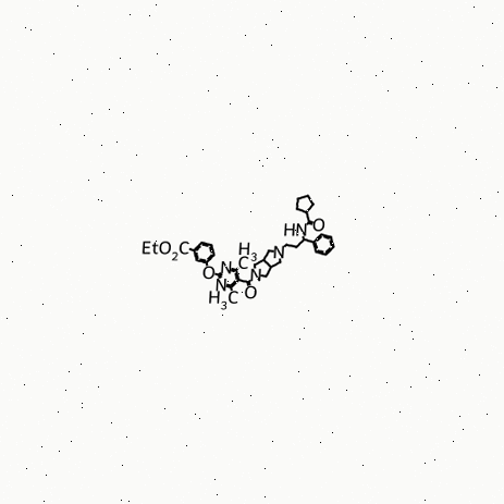 CCOC(=O)c1cccc(Oc2nc(C)c(C(=O)N3CC4CN(CCC(NC(=O)C5CCCC5)c5ccccc5)CC4C3)c(C)n2)c1